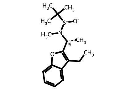 CCc1c([C@@H](C)N(C)[S+]([O-])C(C)(C)C)oc2ccccc12